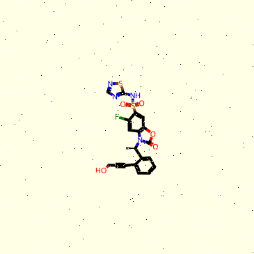 C[C@H](c1ccccc1C#CCO)n1c(=O)oc2cc(S(=O)(=O)Nc3ncns3)c(F)cc21